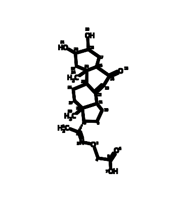 C/C(=N/OCC(=O)O)[C@H]1CCC2C3=CC(=O)C4CC(O)C(O)CC4(C)C3CCC21C